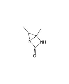 CC1N2C(=O)NC12C